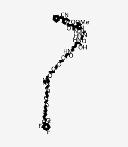 COc1cnc(-n2cnc(C(=O)N[C@H](CO)CCCCNC(=O)CCOCCOCCOCCOCc3cn(CCOCCOCCOCCOCCC(=O)Oc4c(F)cc(F)cc4F)nn3)n2)c2[nH]cc(C(=O)C(=O)N3CCC(=C(C#N)c4ccccc4)CC3)c12